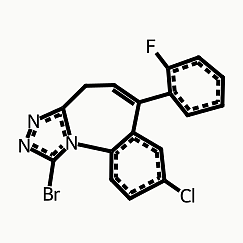 Fc1ccccc1C1=CCc2nnc(Br)n2-c2ccc(Cl)cc21